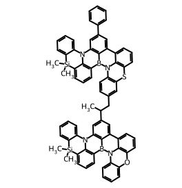 CC(Cc1ccc2c(c1)Sc1cccc3c1N2B1c2cccc4c2N(c2ccccc2[Si]4(C)C)c2cc(-c4ccccc4)cc-3c21)c1cc2c3c(c1)N1c4ccccc4[Si](C)(C)c4cccc(c41)B3N1c3ccccc3Oc3cccc-2c31